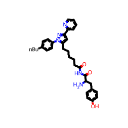 CCCCc1ccc(-n2nc(-c3ccccn3)cc2CCCCCC(=O)NC(=O)C(N)Cc2ccc(O)cc2)cc1